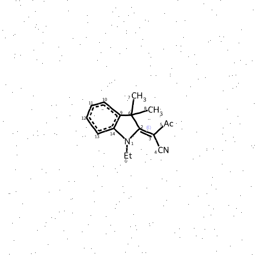 CCN1/C(=C(\C#N)C(C)=O)C(C)(C)c2ccccc21